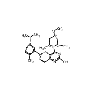 CO[C@H]1C[C@@H](C)N(c2nc(O)nc3c2CN(c2cc(C(C)C)ccc2C)CC3)[C@@H](C)C1